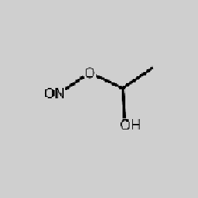 CC(O)ON=O